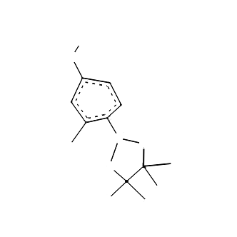 Cc1cc(OC(F)(F)F)ccc1B1OC(C)(C)C(C)(C)O1